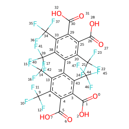 O=C(O)c1c(C(=O)O)c(C(F)(F)F)c(C(F)(F)F)c(-c2c(C(F)(F)F)c(C(=O)O)c(C(=O)O)c(C(F)(F)F)c2C(F)(F)F)c1C(F)(F)F